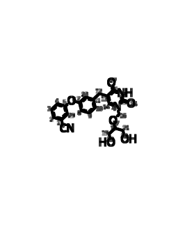 N#Cc1cccc(Oc2cccc(Cc3cn(COC(CO)CO)c(=O)[nH]c3=O)c2)c1